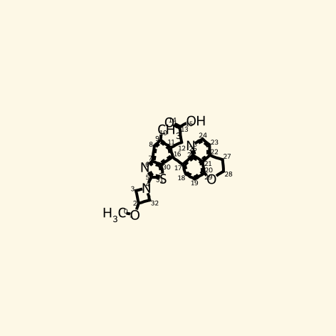 COC1CN(c2nc3cc(C)c(CC(=O)O)c(-c4ccc5c6c(ccnc46)CCO5)c3s2)C1